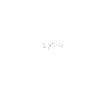 CCCCCCCCCCCCCCCCn1cc(CC(C)c2ccccc2)[n+](CCCCCCCCCCCCCCC)c1Cc1ccccc1